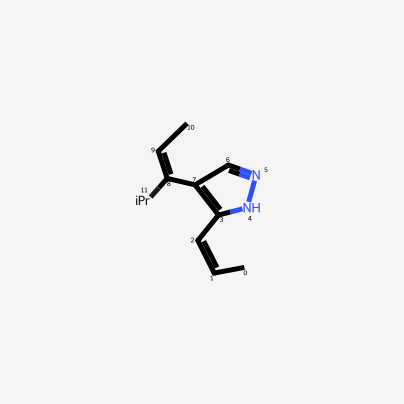 C/C=C\c1[nH]ncc1/C(=C\C)C(C)C